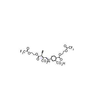 C#C/C(C(=O)OCCOC(=O)C(F)(F)F)=C(\C=C(/C)c1ccc(C(=O)OCCOC(=O)C(F)(F)F)c(C(=O)O)c1)C(=O)O